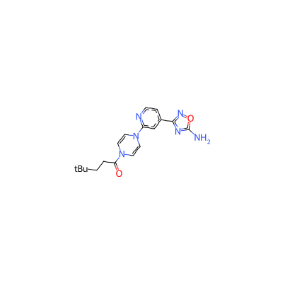 CC(C)(C)CCC(=O)N1C=CN(c2cc(-c3noc(N)n3)ccn2)C=C1